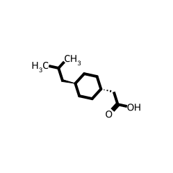 CC(C)C[C@H]1CC[C@H](CC(=O)O)CC1